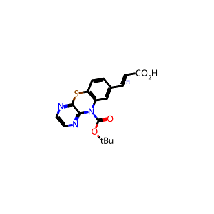 CC(C)(C)OC(=O)N1c2cc(/C=C/C(=O)O)ccc2Sc2nccnc21